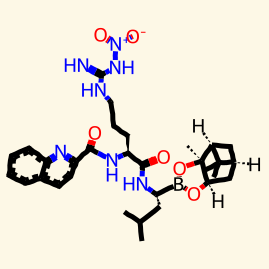 CC(C)C[C@H](NC(=O)[C@H](CCCNC(=N)N[N+](=O)[O-])NC(=O)c1ccc2ccccc2n1)B1O[C@@H]2C[C@@H]3C[C@@H](C3(C)C)[C@]2(C)O1